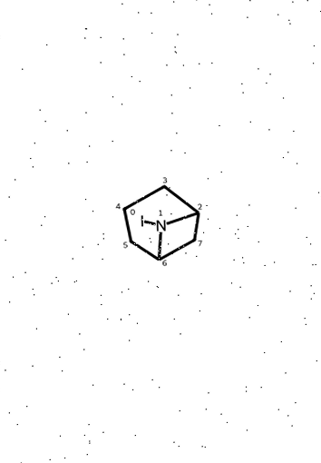 IN1C2CCCC1C2